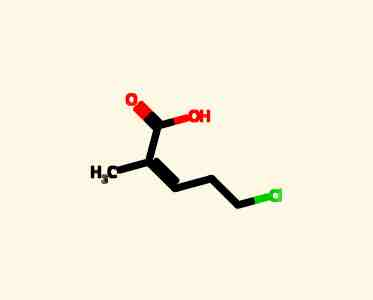 CC(=CCCCl)C(=O)O